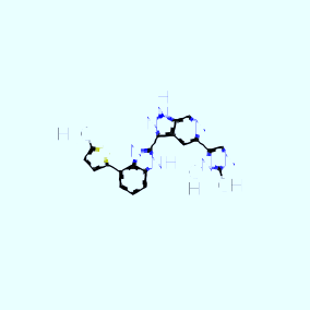 Cc1ccc(-c2cccc3[nH]c(-c4n[nH]c5cnc(-c6cnc(C)n6C)cc45)nc23)s1